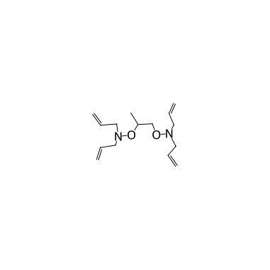 C=CCN(CC=C)OCC(C)ON(CC=C)CC=C